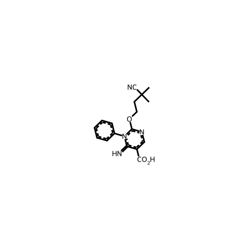 CC(C)(C#N)CCOc1ncc(C(=O)O)c(=N)n1-c1ccccc1